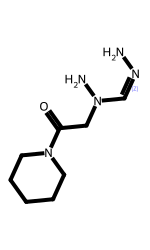 N/N=C\N(N)CC(=O)N1CCCCC1